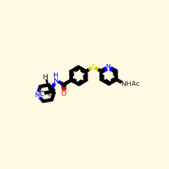 CC(=O)Nc1ccc(Sc2ccc(C(=O)N[C@H]3CN4CCC3CC4)cc2)nc1